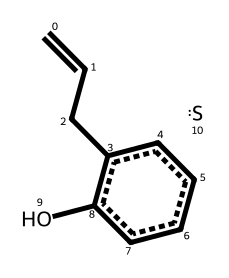 C=CCc1ccccc1O.[S]